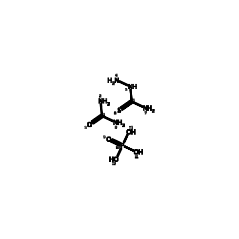 NC(N)=O.NNC(N)=S.O=P(O)(O)O